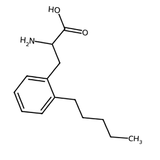 CCCCCc1ccccc1CC(N)C(=O)O